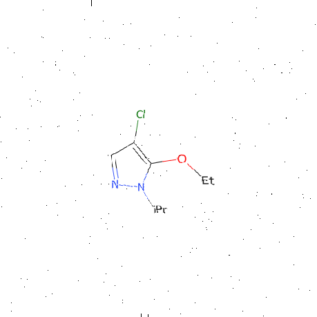 CCOc1c(Cl)[c]nn1C(C)C